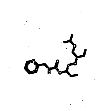 CCC(COC(C)C)OCC(CC)OC(=O)NCc1ccccn1